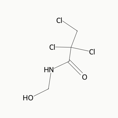 O=C(NCO)C(Cl)(Cl)CCl